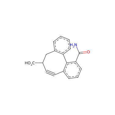 NC(=O)c1cccc2c1-c1ccccc1CC(C(=O)O)C#C2